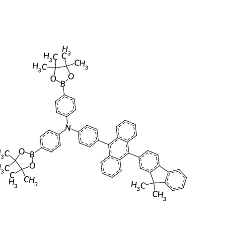 CC1(C)c2ccccc2-c2ccc(-c3c4ccccc4c(-c4ccc(N(c5ccc(B6OC(C)(C)C(C)(C)O6)cc5)c5ccc(B6OC(C)(C)C(C)(C)O6)cc5)cc4)c4ccccc34)cc21